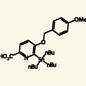 CCC[CH2][Sn]([CH2]CCC)([CH2]CCC)[c]1nc(C(=O)O)ccc1OCc1ccc(OC)cc1